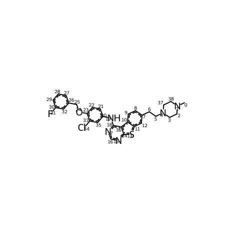 CN1CCN(CCc2ccc3c(c2)sc2ncnc(Nc4ccc(OCc5cccc(F)c5)c(Cl)c4)c23)CC1